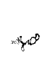 CON(C)C(=O)N1CCc2ccccc2C1